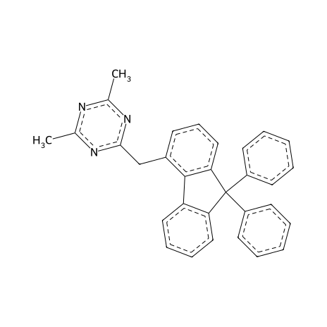 Cc1nc(C)nc(Cc2cccc3c2-c2ccccc2C3(c2ccccc2)c2ccccc2)n1